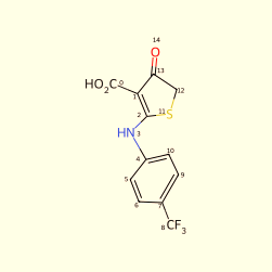 O=C(O)C1=C(Nc2ccc(C(F)(F)F)cc2)SCC1=O